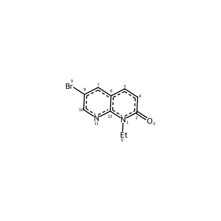 CCn1c(=O)ccc2cc(Br)cnc21